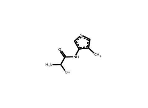 Cc1cscc1NC(=O)C(N)O